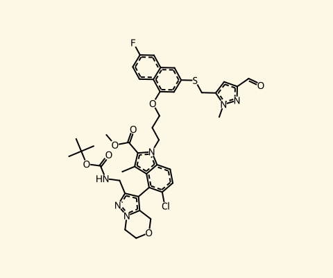 COC(=O)c1c(C)c2c(-c3c(CNC(=O)OC(C)(C)C)nn4c3COCC4)c(Cl)ccc2n1CCCOc1cc(SCc2cc(C=O)nn2C)cc2cc(F)ccc12